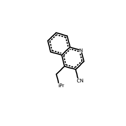 CC(C)Cc1c(C#N)cnc2ccccc12